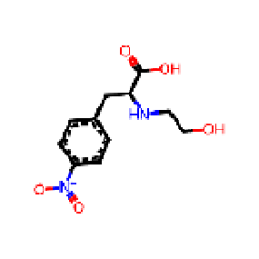 O=C(O)[C@H](Cc1ccc([N+](=O)[O-])cc1)NCCO